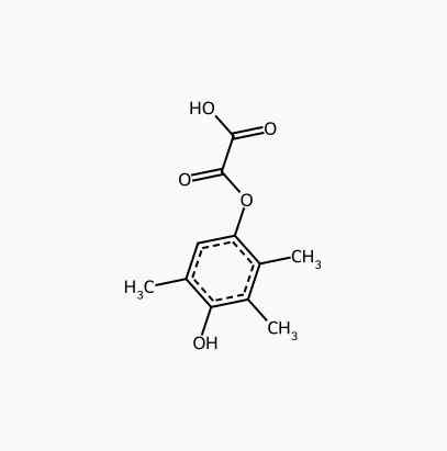 Cc1cc(OC(=O)C(=O)O)c(C)c(C)c1O